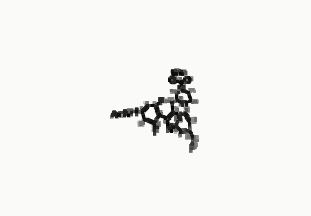 CC(=O)Nc1cc(F)c(-c2nc3cc(CF)ccn3c2C[C@H]2CN(C(=O)OC(C)(C)C)CCO2)c(F)c1